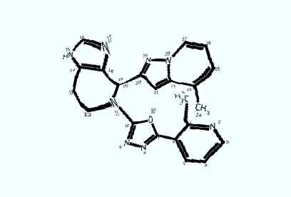 Cc1ncccc1-c1nnc(N2CCc3[nH]cnc3[C@H]2c2cc3c(C)cccn3n2)o1